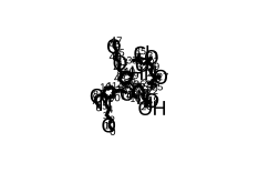 COCCCN1CCOc2ccc(CO[C@H]3CN(C(=O)O)[C@@H](CC(C)(C)C(=O)NCC(=O)OC(C)Cl)C[C@@H]3c3ccc(COCCOC)cc3)cc21